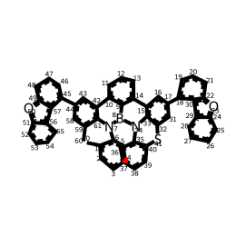 Cc1ccccc1N1B2c3c(cccc3-c3cc(-c4cccc5oc6ccccc6c45)cc4c3N2c2ccccc2S4)-c2cc(-c3cccc4oc5ccccc5c34)cc(C)c21